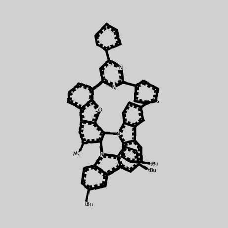 CC(C)(C)c1ccc2c(c1)c1cc(C(C)(C)C)ccc1n2-c1c(C#N)cc2c(oc3c(-c4cc(-c5ccccc5)nc(-c5ccccc5)n4)cccc32)c1-n1c2ccc(C(C)(C)C)cc2c2cc(C(C)(C)C)ccc21